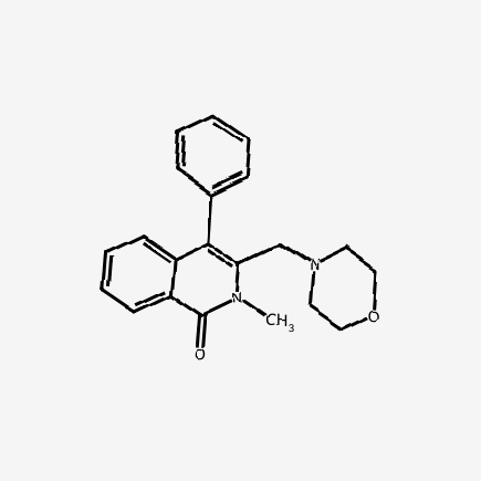 Cn1c(CN2CCOCC2)c(-c2ccccc2)c2ccccc2c1=O